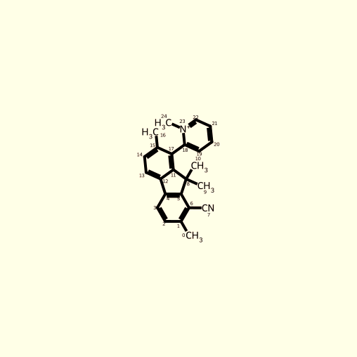 Cc1ccc2c(c1C#N)C(C)(C)c1c-2ccc(C)c1-c1cccc[n+]1C